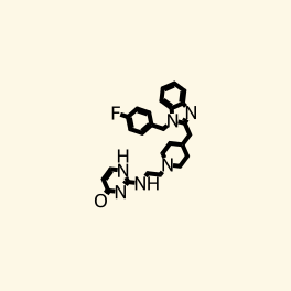 O=c1cc[nH]c(NCCN2CCC(Cc3nc4ccccc4n3Cc3ccc(F)cc3)CC2)n1